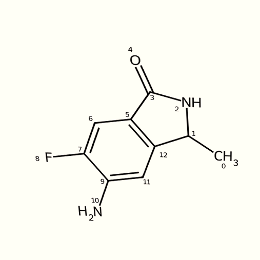 CC1NC(=O)c2cc(F)c(N)cc21